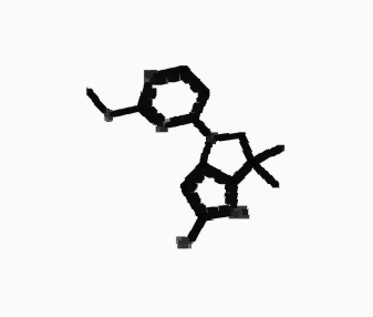 CSc1nccc(N2CC(C)(C)c3[nH]c(Br)cc32)n1